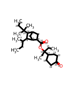 CCC(C)C1C2CC(CC2C(=O)OC(C)(CC)C2CCC(=O)CC2)C1C(C)(C)CC